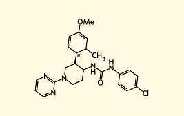 COC1=CC(C)[C@@H](C2CN(c3ncccn3)CCC2NC(=O)Nc2ccc(Cl)cc2)C=C1